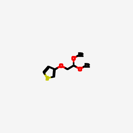 CCOC(COc1ccsc1)OCC